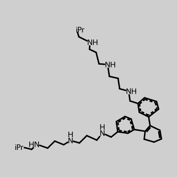 CC(C)CNCCCNCCCNCc1cccc(C2=C(c3cccc(CNCCCNCCCNCC(C)C)c3)CCC=C2)c1